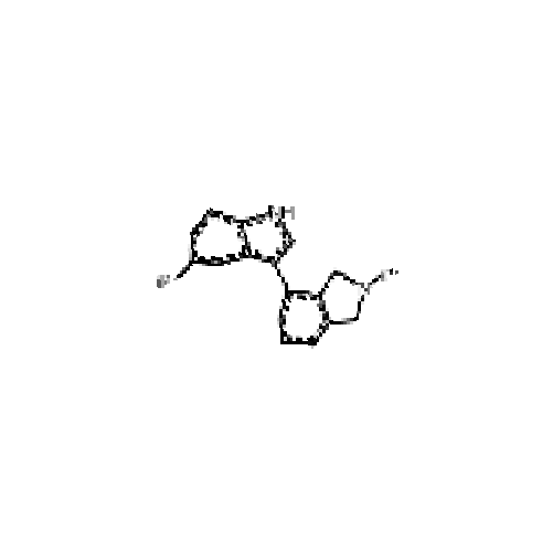 CC(C)c1ccc2[nH]cc(-c3cccc4c3CN(C(C)C)C4)c2c1